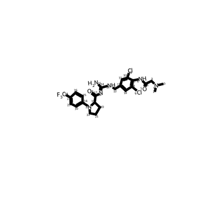 CN(C)CC(=O)Nc1c(Cl)cc(CNC(N)=NC(=O)C2CCCN2c2ccc(C(F)(F)F)cc2)cc1Cl